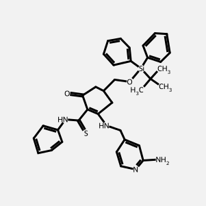 CC(C)(C)[Si](OCC1CC(=O)C(C(=S)Nc2ccccc2)=C(NCc2ccnc(N)c2)C1)(c1ccccc1)c1ccccc1